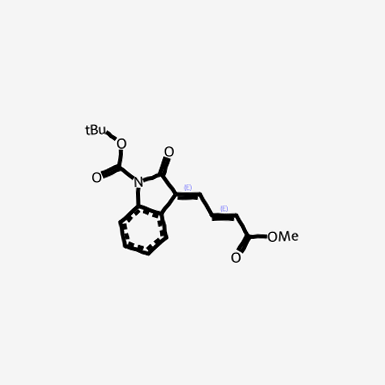 COC(=O)/C=C/C=C1/C(=O)N(C(=O)OC(C)(C)C)c2ccccc21